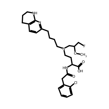 COC(CF)CN(CCCCc1ccc2c(n1)NCCC2)CCC(NC(=O)Cc1ccccc1Cl)C(=O)O